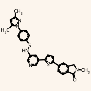 Cc1cc(C)n(-c2ccc(SNc3cncc(-c4ccc(-c5ccc6c(c5)CN(C)C6=O)s4)c3)cc2)n1